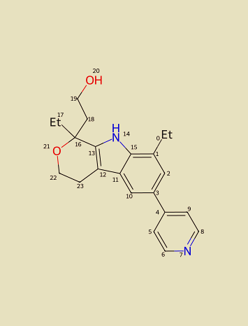 CCc1cc(-c2ccncc2)cc2c3c([nH]c12)C(CC)(CCO)OCC3